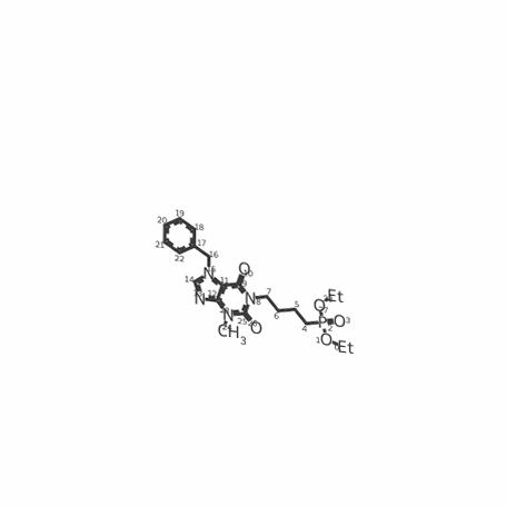 CCOP(=O)(CCCCn1c(=O)c2c(ncn2Cc2ccccc2)n(C)c1=O)OCC